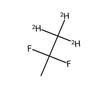 [2H]C([2H])([2H])C(C)(F)F